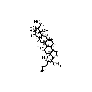 CC(C)CCC[C@@H](C)[C@H]1CCC2C3CC=C4CC(C(O)(C(O)CO)P(=O)(O)O)CC[C@]4(C)C3CC[C@@]21C